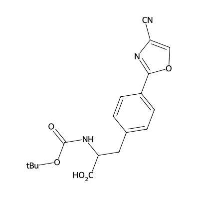 CC(C)(C)OC(=O)NC(Cc1ccc(-c2nc(C#N)co2)cc1)C(=O)O